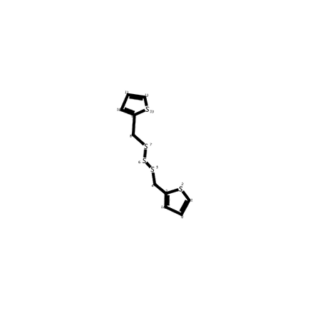 c1csc(CSSSCc2cccs2)c1